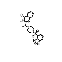 CC(c1nc2ccccc2c(=O)n1C)N1CCN(S(=O)(=O)c2cccc3nsnc23)CC1